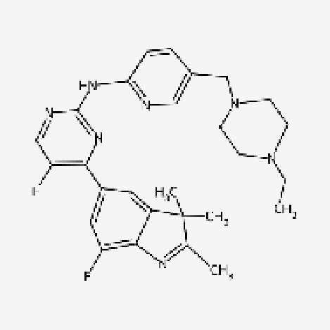 CCN1CCN(Cc2ccc(Nc3ncc(F)c(-c4cc(F)c5c(c4)C(C)(C)C(C)=N5)n3)nc2)CC1